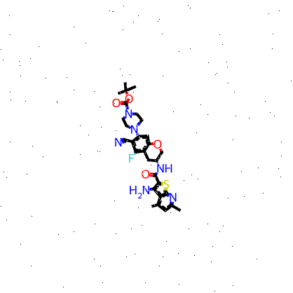 Cc1cc(C)c2c(N)c(C(=O)N[C@H]3COc4cc(N5CCN(C(=O)OC(C)(C)C)CC5)c(C#N)c(F)c4C3)sc2n1